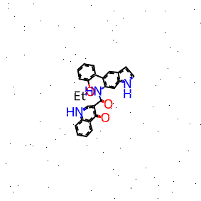 CCOc1ccccc1-c1cc2cc[nH]c2cc1NC(=O)c1c[nH]c2ccccc2c1=O